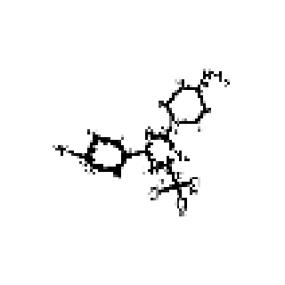 NC1CCN(c2nc(-c3ccc(F)cc3)nc(C(Cl)(Cl)Cl)n2)CC1